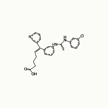 O=C(O)CCCC=C(c1cccnc1)c1cccc(NC(=S)Nc2cccc(Cl)c2)c1